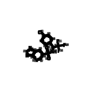 O=S(=O)(NC(c1ccc(Cl)cc1)C(F)(F)F)c1cnc2nsnc2c1